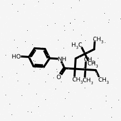 CCC(C)(C)CC(C)(C(=O)Nc1ccc(O)cc1)C(C)(C)CC